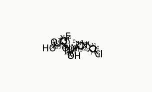 C[C@H]1CN(Cc2ccc(Cl)cc2)CC[C@H]1NC[C@](C)(O)COc1cc(F)ccc1CC(=O)O